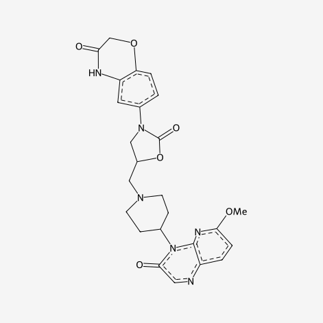 COc1ccc2ncc(=O)n(C3CCN(CC4CN(c5ccc6c(c5)NC(=O)CO6)C(=O)O4)CC3)c2n1